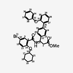 COC(=O)CC(NC(=O)c1cc(Br)ccc1OC1CCCCC1)c1ccc(-c2ccccc2Oc2ccccc2)cc1